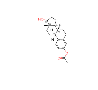 CC(=O)Oc1ccc2c(c1)CC[C@@H]1[C@@H]2CC[C@]2(C)[C@H](O)CC[C@@H]12